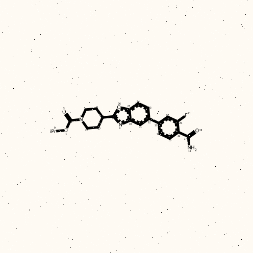 CC(C)OC(=O)N1CCC(c2nc3cc(-c4ccc(C(N)=O)c(F)c4)ccc3o2)CC1